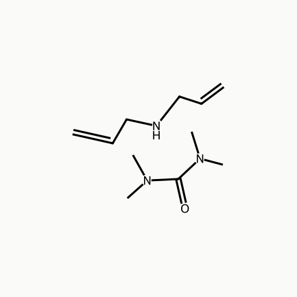 C=CCNCC=C.CN(C)C(=O)N(C)C